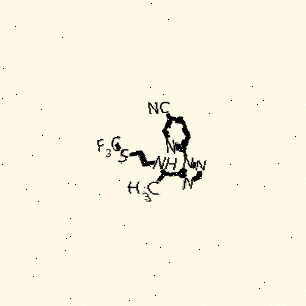 CC(NCCSC(F)(F)F)c1ncnn1-c1ccc(C#N)cn1